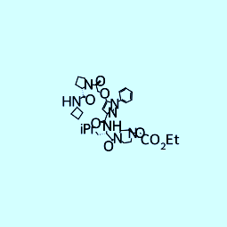 CCOC(=O)ON1CCN(C(=O)[C@H](CC(C)C)NC(=O)c2cc(OCC(=O)N3CCC[C@H]3C(=O)NC3CCC3)n(-c3ccccc3)n2)CC1